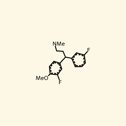 CNCCC(c1cccc(F)c1)c1ccc(OC)c(F)c1